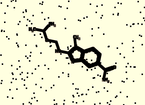 CC(C)OCNc1nc2cc(C(N)=O)ccc2n1C